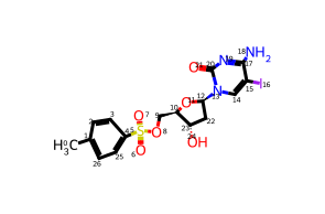 Cc1ccc(S(=O)(=O)OC[C@H]2O[C@@H](n3cc(I)c(N)nc3=O)C[C@@H]2O)cc1